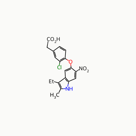 CCc1c(C)[nH]c2cc([N+](=O)[O-])c(Oc3ccc(CC(=O)O)cc3Cl)cc12